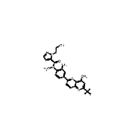 Cc1cc(-c2ccc3nc(C(F)(F)F)cc(C)c3n2)ccc1N(C)C(=O)c1ccnn1CCO